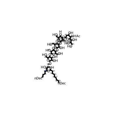 CCCCCCCCCCCCC/C=C/[C@@H](O)[C@H](CO[C@@H]1OC(CO)[C@@H](O[C@@H]2OC(CO)[C@H](O[C@@H]3OC(CO)[C@H](O)[C@H](O[C@@H]4OC(CO)[C@H](O)[C@H](O[C@]5(C(=O)O)CC(O)[C@@H](NC(C)=O)C([C@H](O)[C@H](O)CO)O5)C4NC(C)=O)C3O)[C@H](O)C2O)[C@H](O)C1O)NC(=O)CCCCCCCCCCCCCCCCC